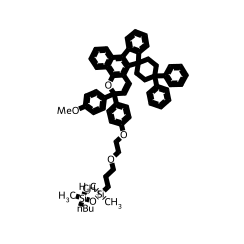 CCCC[Si](C)(C)O[Si](C)(C)CCCOCCOc1ccc(C2(c3ccc(OC)cc3)C=Cc3c4c(c5ccccc5c3O2)-c2ccccc2C42CCC(c3ccccc3)(c3ccccc3)CC2)cc1